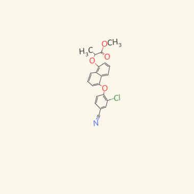 COC(=O)C(C)Oc1cccc2c(Oc3ccc(C#N)cc3Cl)cccc12